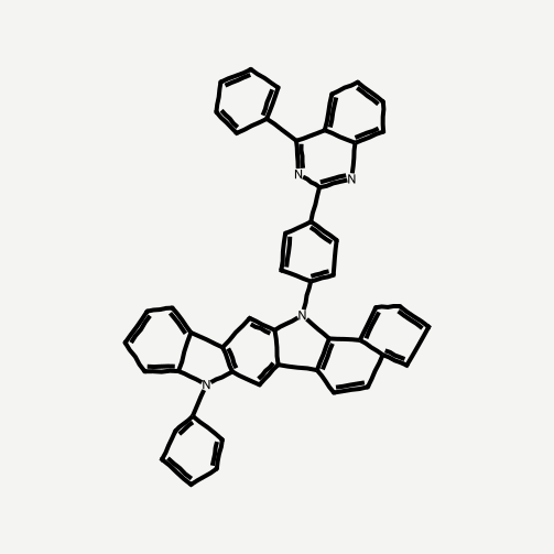 c1ccc(-c2nc(-c3ccc(-n4c5cc6c7ccccc7n(-c7ccccc7)c6cc5c5ccc6ccccc6c54)cc3)nc3ccccc23)cc1